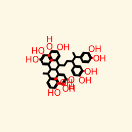 CC(c1ccc(O)c(O)c1)C(CCC(c1ccc(O)c(O)c1)C(c1ccc(O)c(O)c1)C(c1ccc(O)c(O)c1)C(C)c1ccc(O)c(O)c1)c1ccc(O)c(O)c1